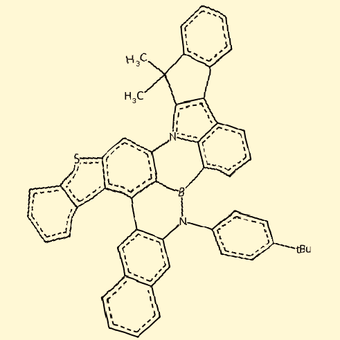 CC(C)(C)c1ccc(N2B3c4c(cc5sc6ccccc6c5c4-c4cc5ccccc5cc42)-n2c4c(c5cccc3c52)-c2ccccc2C4(C)C)cc1